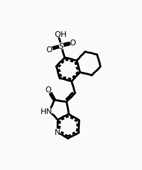 O=C1Nc2ncccc2C1=Cc1ccc(S(=O)(=O)O)c2c1CCCC2